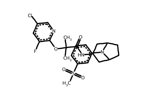 CC(C)(Oc1ncc(Cl)cc1F)C(=O)NC1CC2CCC(C1)N2c1cccc(S(C)(=O)=O)c1